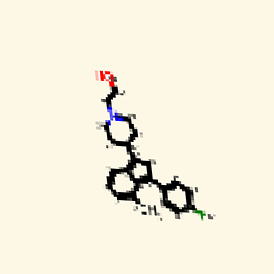 Cc1cccc2c1=C(c1ccc(F)cc1)CC=2C1CCN(CCO)CC1